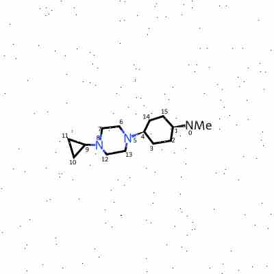 CN[C@H]1CC[C@@H](N2CCN(C3CC3)CC2)CC1